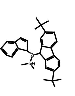 C[SiH](C)[Zr]([CH]1C=Cc2ccccc21)[CH]1c2cc(C(C)(C)C)ccc2-c2ccc(C(C)(C)C)cc21